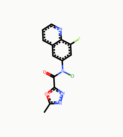 Cc1nnc(C(=O)N(Cl)c2cc(F)c3ncccc3c2)o1